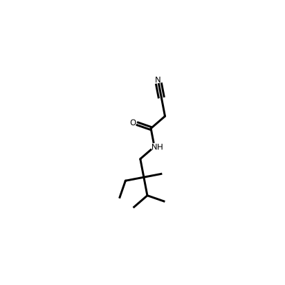 CCC(C)(CNC(=O)CC#N)C(C)C